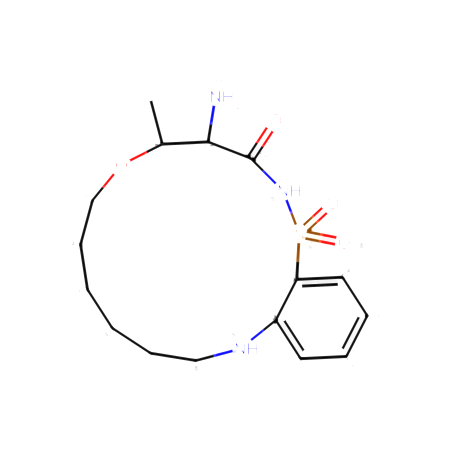 CC1OCCCCCCNc2ccccc2S(=O)(=O)NC(=O)C1N